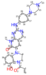 C=CC(=O)N1CCN(c2cc3cnc(Nc4ccc(N5CCN(C)CC5)cc4)nc3n(C)c2=O)c2cccc(O)c21